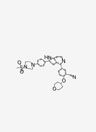 CS(=O)(=O)N1CCN(c2ccc(-c3cc4c(-c5ccc(OC6CCOCC6)c(C#N)c5)nccc4[nH]3)cc2)CC1